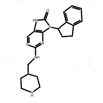 O=c1[nH]c2cnc(NCC3CCNCC3)nc2n1C1CCc2ccccc21